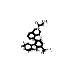 C=CC(=O)N1CCc2c(cccc2-c2c(F)cc(C(N)=O)c3c2C2CC(F)(F)CC=C2N3)C1